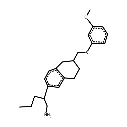 CCCC(CN)c1ccc2c(c1)CCC(CSc1cccc(OC)c1)C2